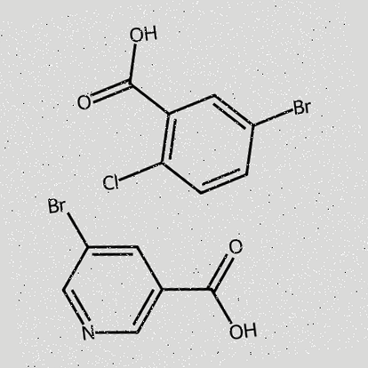 O=C(O)c1cc(Br)ccc1Cl.O=C(O)c1cncc(Br)c1